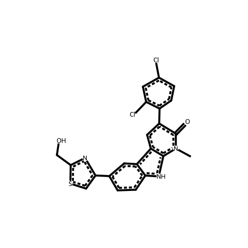 Cn1c(=O)c(-c2ccc(Cl)cc2Cl)cc2c3cc(-c4csc(CO)n4)ccc3[nH]c21